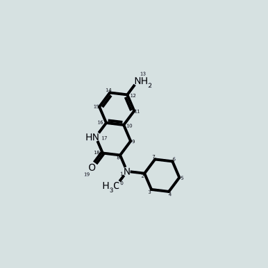 CN(C1CCCCC1)C1Cc2cc(N)ccc2NC1=O